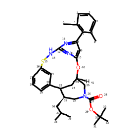 Cc1cccc(C)c1-c1cc2nc(n1)NSc1cccc(c1)C1C[C@@H](CN(C(=O)OC(C)(C)C)C[C@H]1CC(C)C)O2